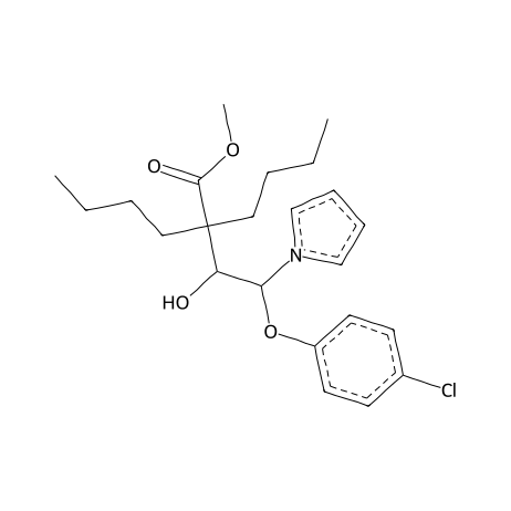 CCCCC(CCCC)(C(=O)OC)C(O)C(Oc1ccc(Cl)cc1)n1cccc1